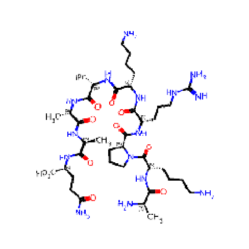 CC(C)[C@H](NC(=O)[C@H](CCCCN)NC(=O)[C@H](CCCNC(=N)N)NC(=O)[C@@H]1CCCN1C(=O)[C@H](CCCCN)NC(=O)[C@@H](C)N)C(=O)N[C@@H](C)C(=O)N[C@@H](C)C(=O)N[C@@H](CCC(N)=O)C(=O)O